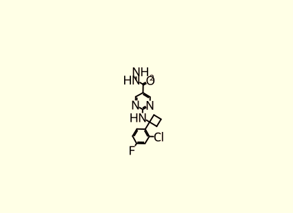 NNC(=O)c1cnc(NC2(c3ccc(F)cc3Cl)CCC2)nc1